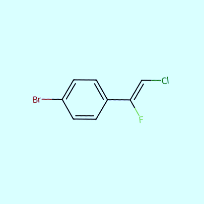 F/C(=C\Cl)c1ccc(Br)cc1